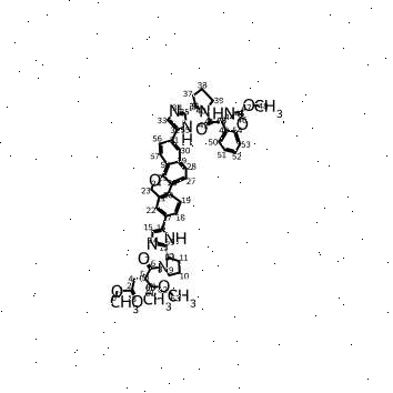 COC(=O)C[C@H](C(=O)N1CCC[C@H]1c1ncc(-c2ccc3c(c2)COc2c-3ccc3cc(-c4cnc([C@@H]5CCCN5C(=O)[C@H](NC(=O)OC)c5ccccc5)[nH]4)ccc23)[nH]1)[C@@H](C)OC